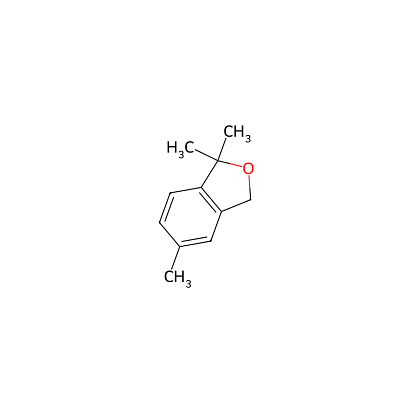 Cc1ccc2c(c1)COC2(C)C